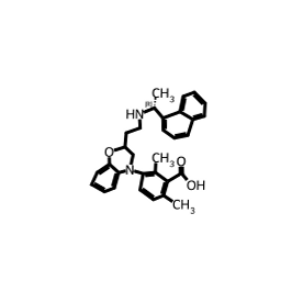 Cc1ccc(N2CC(CCN[C@H](C)c3cccc4ccccc34)Oc3ccccc32)c(C)c1C(=O)O